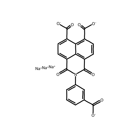 O=C([O-])c1cccc(N2C(=O)c3ccc(C(=O)[O-])c4c(C(=O)[O-])ccc(c34)C2=O)c1.[Na+].[Na+].[Na+]